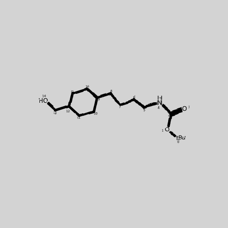 CC(C)(C)OC(=O)NCCCCC1CCC(CO)CC1